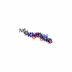 N#Cc1ccc(CN2CCC(NC(=O)c3cc4cc(NC(=O)c5ccc(N6CCOCC6)cc5)ccc4o3)CC2)cc1